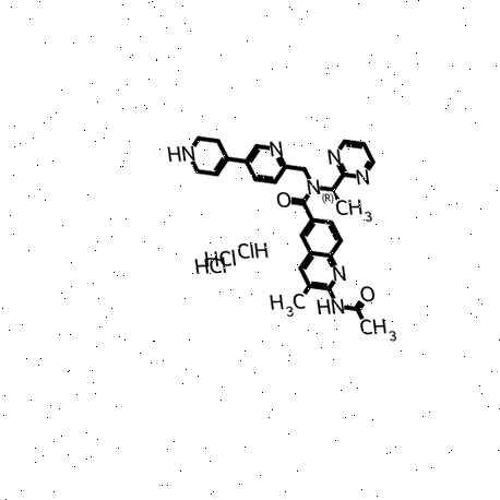 CC(=O)Nc1nc2ccc(C(=O)N(Cc3ccc(C4=CCNCC4)cn3)[C@H](C)c3ncccn3)cc2cc1C.Cl.Cl.Cl